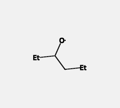 [CH2]CCC([O])CC